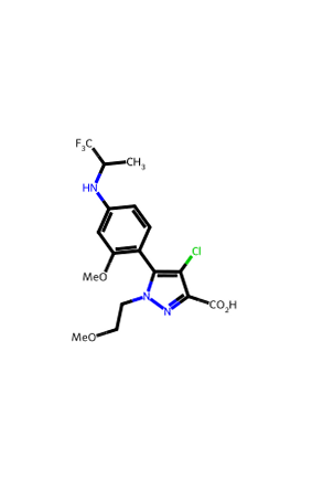 COCCn1nc(C(=O)O)c(Cl)c1-c1ccc(NC(C)C(F)(F)F)cc1OC